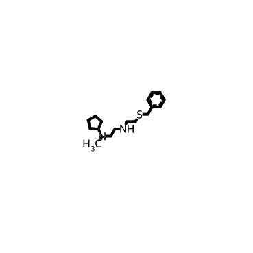 CN(CCNCCSCc1ccccc1)C1CCCC1